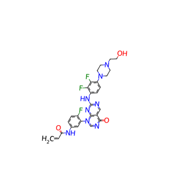 C=CC(=O)Nc1ccc(F)c(-n2cnc(=O)c3cnc(Nc4ccc(N5CCN(CCO)CC5)c(F)c4F)nc32)c1